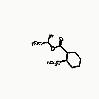 CCCCCCCCC(OC(=O)C1CCCCC1C(=O)O)C(C)C